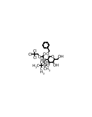 CC(C)(C)[Si](C)(C)O[C@@H]1C(NC(=O)OCC(Cl)(Cl)Cl)[C@H](OCc2ccccc2)OC(CO)[C@H]1O